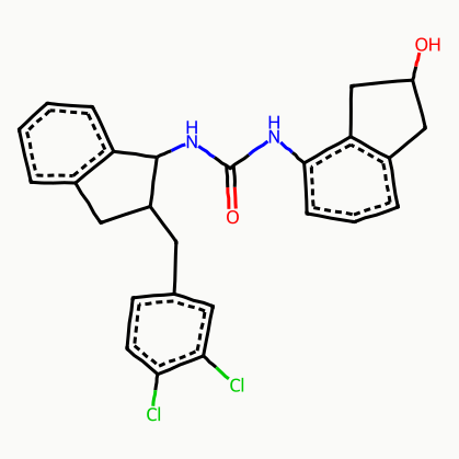 O=C(Nc1cccc2c1CC(O)C2)NC1c2ccccc2CC1Cc1ccc(Cl)c(Cl)c1